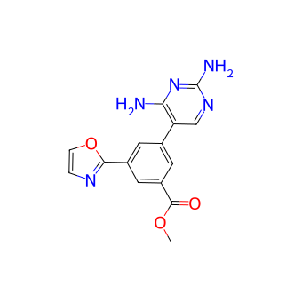 COC(=O)c1cc(-c2ncco2)cc(-c2cnc(N)nc2N)c1